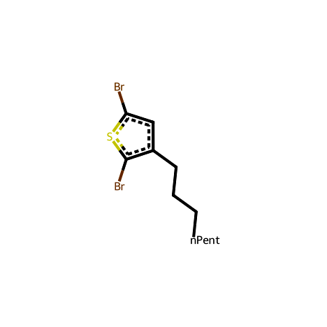 CCCCCCCCc1cc(Br)sc1Br